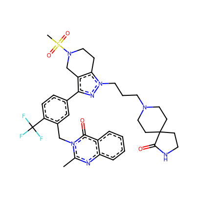 Cc1nc2ccccc2c(=O)n1Cc1cc(-c2nn(CCCN3CCC4(CCNC4=O)CC3)c3c2CN(S(C)(=O)=O)CC3)ccc1C(F)(F)F